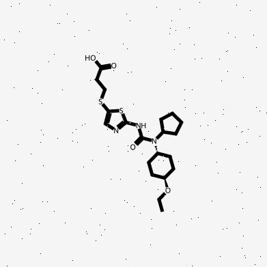 CCO[C@H]1CC[C@H](N(C(=O)Nc2ncc(SCCC(=O)O)s2)C2CCCC2)CC1